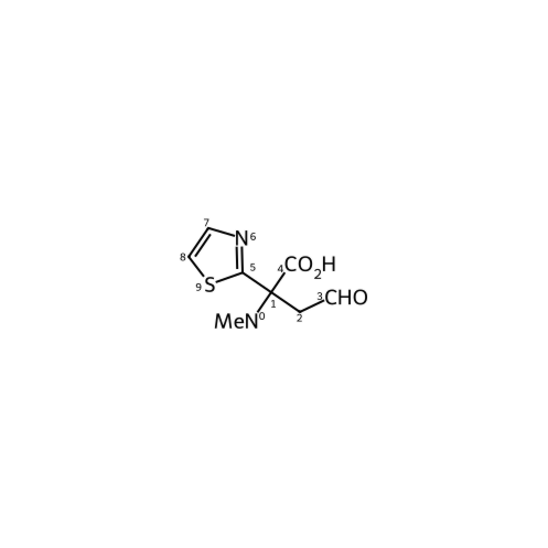 CNC(CC=O)(C(=O)O)c1nccs1